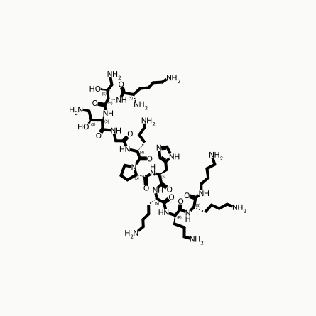 NCCCCNC(=O)[C@H](CCCCN)NC(=O)[C@@H](CCCN)NC(=O)[C@H](CCCCN)NC(=O)[C@H](Cc1cnc[nH]1)NC(=O)[C@@H]1CCCN1C(=O)[C@@H](CCCN)NC(=O)CNC(=O)[C@@H](NC(=O)[C@@H](NC(=O)[C@@H](N)CCCCN)[C@@H](O)CN)[C@@H](O)CN